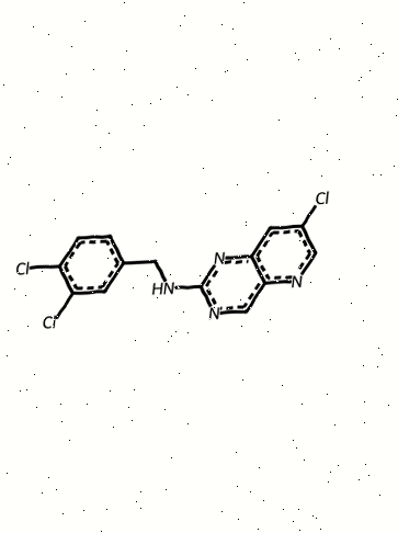 Clc1cnc2cnc(NCc3ccc(Cl)c(Cl)c3)nc2c1